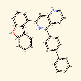 c1ccc(-c2ccc(-c3nc(-c4cccc5oc6ccccc6c45)cc4ncccc34)cc2)cc1